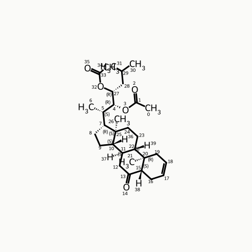 CC(=O)O[C@H]([C@@H](C)[C@H]1CC[C@H]2[C@@H]3CC(=O)[C@H]4CC=CC[C@]4(C)[C@H]3CC[C@]12C)[C@@H](CC(C)C)OC(C)=O